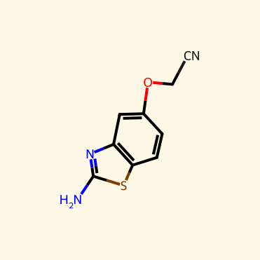 N#CCOc1ccc2sc(N)nc2c1